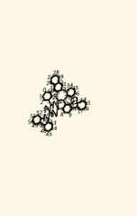 c1ccc(-c2nc(-c3ccc4c(oc5ccccc54)c3C3CCc4cc5ccccc5cc4-c4ccccc43)nc(-n3c4ccccc4c4ccccc43)n2)cc1